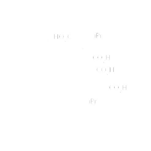 CC(C)C(C(=O)O)(C(=O)O)C1C(c2ccccc2)CCC(c2ccccc2)C1C(C(=O)O)(C(=O)O)C(C)C